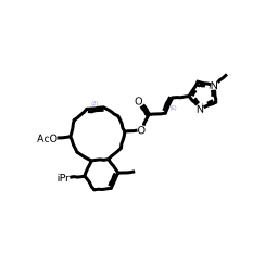 CC(=O)OC1C/C=C\CC(OC(=O)/C=C/c2cn(C)cn2)CC2C(C)=CCC(C(C)C)C2C1